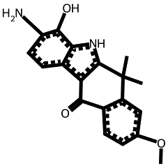 COc1ccc2c(c1)C(C)(C)c1[nH]c3c(O)c(N)ccc3c1C2=O